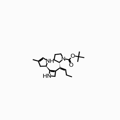 CC/C=C(\C1=C([C@H]2CC(C)=CN2)NC1)[C@@H]1CCCN1C(=O)OC(C)(C)C